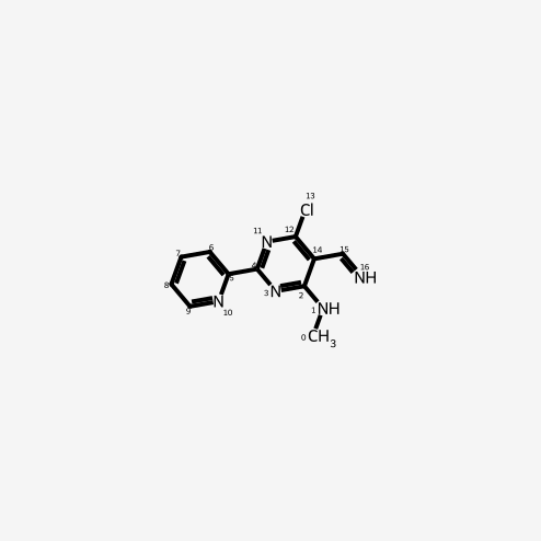 CNc1nc(-c2ccccn2)nc(Cl)c1C=N